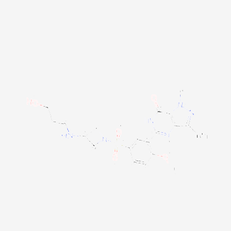 CCCc1nn(C)c2c(=O)[nH]c(-c3cc(S(=O)(=O)N4CC(NCCCO)C4)ccc3OCC)nc12